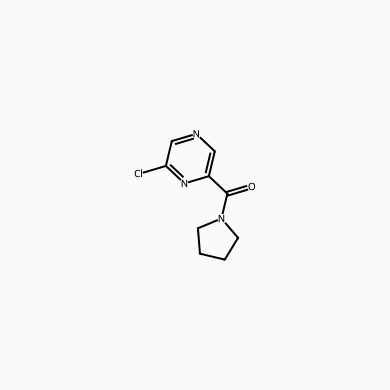 O=C(c1cncc(Cl)n1)N1CCCC1